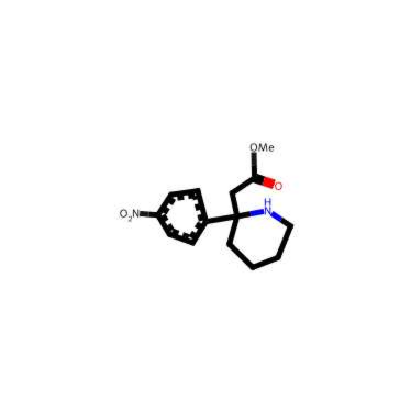 COC(=O)CC1(c2ccc([N+](=O)[O-])cc2)CCCCN1